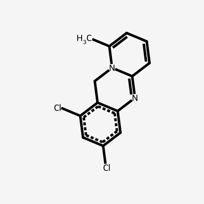 CC1=CC=CC2=Nc3cc(Cl)cc(Cl)c3CN12